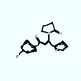 O=C(CC(c1ccco1)N1CCCC1=O)c1ccc(Br)cc1